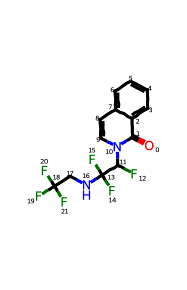 O=c1c2ccccc2ccn1C(F)C(F)(F)NCC(F)(F)F